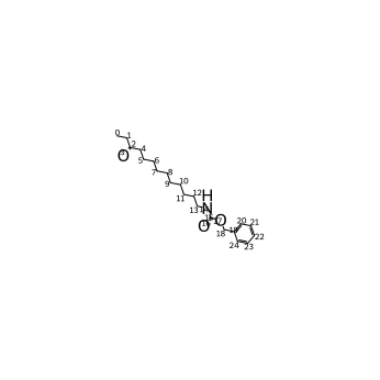 CCC(=O)CCCCCCCCCCNC(=O)OCc1ccccc1